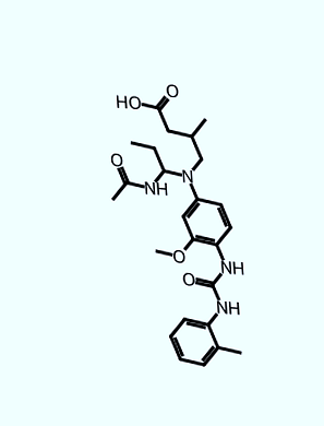 CCC(NC(C)=O)N(CC(C)CC(=O)O)c1ccc(NC(=O)Nc2ccccc2C)c(OC)c1